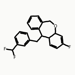 FC1=CC2OCc3ccccc3C(Cc3cccc(C(F)F)c3)C2C=C1